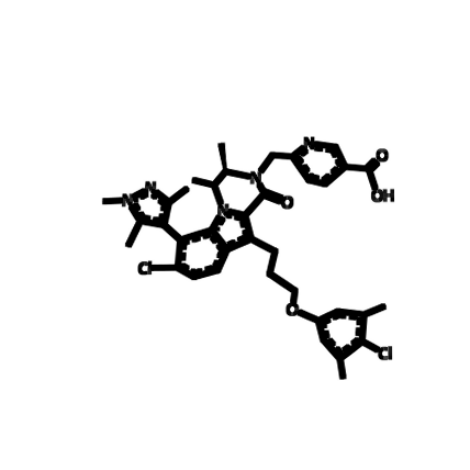 Cc1cc(OCCCc2c3n(c4c(-c5c(C)nn(C)c5C)c(Cl)ccc24)C(C)[C@@H](C)N(Cc2ccc(C(=O)O)cn2)C3=O)cc(C)c1Cl